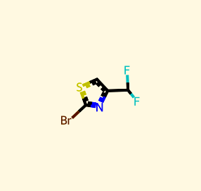 FC(F)c1csc(Br)n1